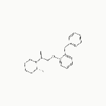 C[C@@H]1CCCCN1[C@@H](C)COc1ccccc1Cc1ccccc1